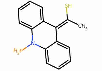 CC(S)=C1c2ccccc2N(P)c2ccccc21